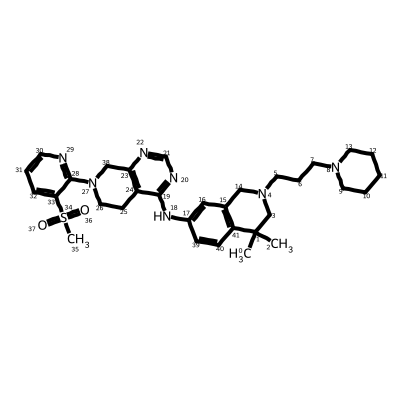 CC1(C)CN(CCCN2CCCCC2)Cc2cc(Nc3ncnc4c3CCN(c3ncccc3S(C)(=O)=O)C4)ccc21